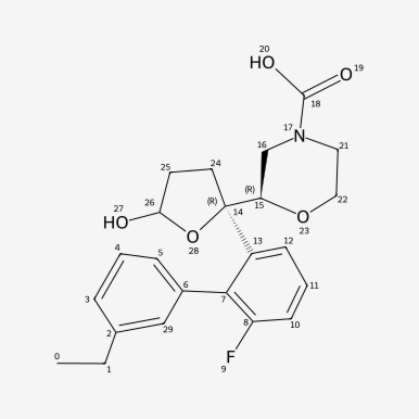 CCc1cccc(-c2c(F)cccc2[C@@]2([C@H]3CN(C(=O)O)CCO3)CCC(O)O2)c1